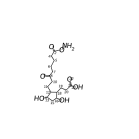 NOC(=O)CCCCC(=O)CCC1C(O)CC(O)C1CCC(=O)O